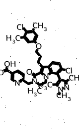 Cc1cc(OCCCc2c3n(c4c(-c5c(C)nn(C)c5C)c(Cl)ccc24)C[C@H](C)N(Cc2ccc(C(=O)O)cn2)C3=O)cc(C)c1Cl